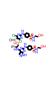 CC(C)C(CO)Nc1nc(Nc2ccc(S(=O)(=O)NCCO)cc2)nc2[nH]ncc12.O=Cc1c(Cl)nc(Nc2ccc(S(=O)(=O)NCCO)cc2)nc1Cl